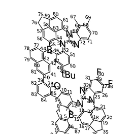 Cc1cc(C)c(B2c3cc4c(cc3-n3c5c2cc2c6c(ccc(c65)n5c6cc(F)c(F)cc6nc35)CC2)oc2c(-c3ccc5c(B6c7cc(C(C)(C)C)ccc7-n7c8c6cc6c9c(ccc(c98)n8c9c(C)c(C)ccc9nc78)CC6)cccc5c3)cccc24)c(C)c1